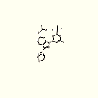 CC(=O)Nc1cc2c(cn1)c(N1CC3CC1CO3)nn2-c1cc(C)nc(C(C)(F)F)n1